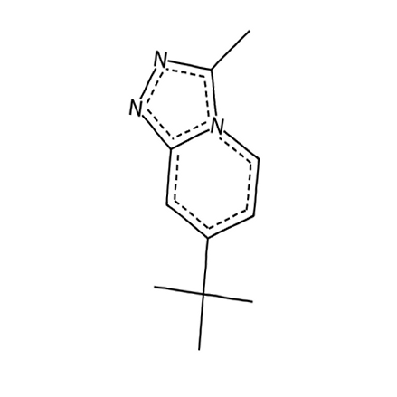 Cc1nnc2cc(C(C)(C)C)ccn12